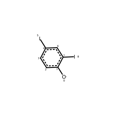 [O]c1ccc(I)cc1I